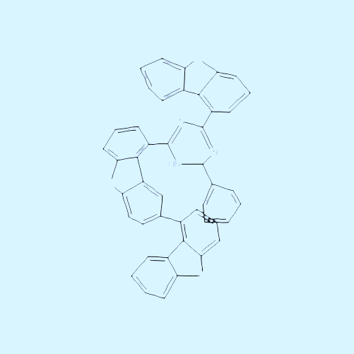 c1ccc(C2N=C(c3cccc4oc5ccccc5c34)N=C(c3cccc4oc5ccc(-c6cccc7oc8ccccc8c67)cc5c34)N2)cc1